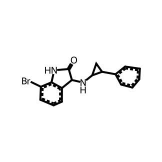 O=C1Nc2c(Br)cccc2C1NC1CC1c1ccccc1